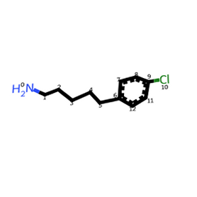 NCCCCCc1ccc(Cl)cc1